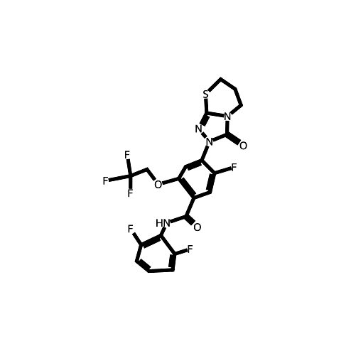 O=C(Nc1c(F)cccc1F)c1cc(F)c(-n2nc3n(c2=O)CCCS3)cc1OCC(F)(F)F